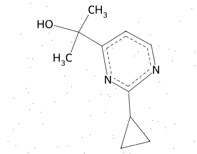 CC(C)(O)c1ccnc(C2CC2)n1